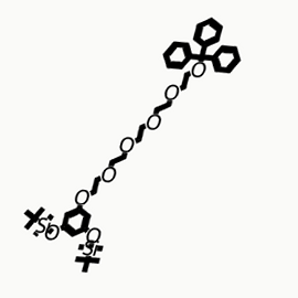 CC(C)(C)[Si](C)(C)Oc1cc(OCCOCCOCCOCCOCCOC(c2ccccc2)(c2ccccc2)c2ccccc2)cc(O[Si](C)(C)C(C)(C)C)c1